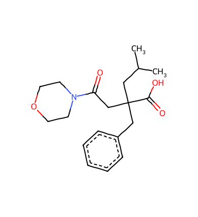 CC(C)CC(CC(=O)N1CCOCC1)(Cc1ccccc1)C(=O)O